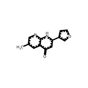 Cc1cnc2[nH]c(-c3ccoc3)cc(=O)c2c1